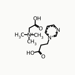 C[N+](C)(C)CC(=O)O.O=C(O)CC[n+]1cccnc1